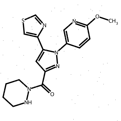 COc1ccc(-n2nc(C(=O)N3CCCCN3)cc2-c2cscn2)cn1